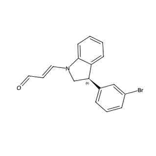 O=CC=CN1C[C@H](c2cccc(Br)c2)c2ccccc21